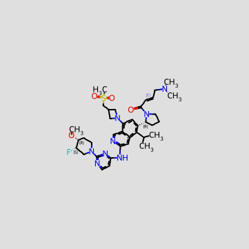 CO[C@@H]1CCN(c2nccc(Nc3cc4c(C(C)C)c([C@H]5CCCN5C(=O)/C=C/CN(C)C)cc(N5CC(CS(C)(=O)=O)C5)c4cn3)n2)C[C@@H]1F